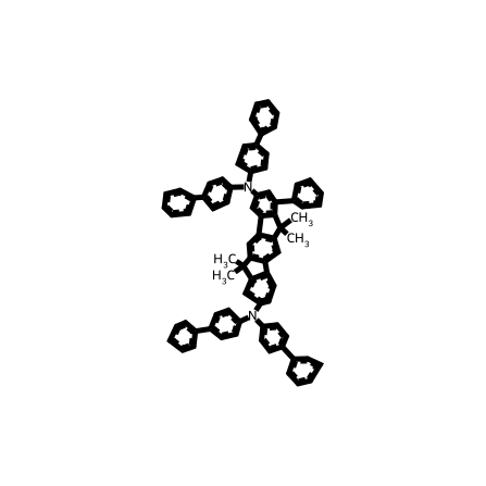 CC1(C)c2cc(N(c3ccc(-c4ccccc4)cc3)c3ccc(-c4ccccc4)cc3)ccc2-c2cc3c(cc21)-c1cc(N(c2ccc(-c4ccccc4)cc2)c2ccc(-c4ccccc4)cc2)cc(-c2ccccc2)c1C3(C)C